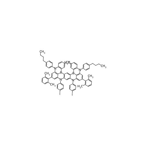 CCCCc1ccc(N2c3ccc(C)cc3B3c4cc5c(cc4N(c4ccc(I)cc4)c4cc(-c6c(C)cccc6C)cc2c43)N(c2ccc(I)cc2)c2cc(-c3c(C)cccc3C)cc3c2B5c2cc(C)ccc2N3c2ccc(CCCC)cc2)cc1